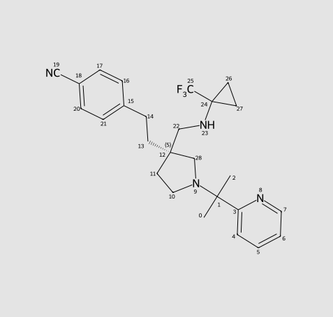 CC(C)(c1ccccn1)N1CC[C@@](CCc2ccc(C#N)cc2)(CNC2(C(F)(F)F)CC2)C1